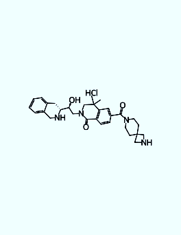 CC1(C)CN(C[C@H](O)[C@H]2Cc3ccccc3CN2)C(=O)c2ccc(C(=O)N3CCC4(CC3)CNC4)cc21.Cl